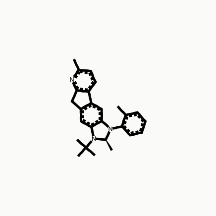 Cc1ccc2c(n1)Cc1cc3c(cc1-2)N(c1ccccc1C)[C@@H](C)N3C(C)(C)C